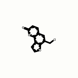 O=c1ccc2cc(CCl)c3occc3c2o1